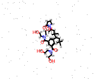 CC(CC(C)(C)C(CC(C)(C)C)c1cc(C(=O)N(CCO)CCO)cc(C(=O)N(CCO)CCO)c1)N1CCCC1=O